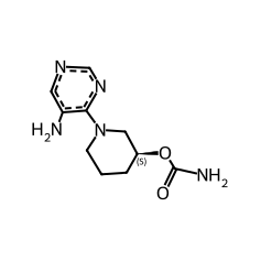 NC(=O)O[C@H]1CCCN(c2ncncc2N)C1